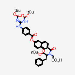 CCCCOC(=O)[C@H](Cc1ccccc1)N(CC(=O)O)C(=O)c1ccc2cc(OC(=O)c3ccc(N/C(=N/C(=O)OC(C)(C)C)NC(=O)OC(C)(C)C)cc3)ccc2c1